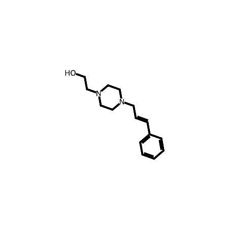 OCCN1CCN(CC=Cc2ccccc2)CC1